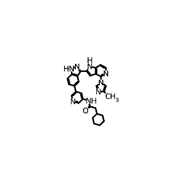 Cc1cn(-c2nccc3[nH]c(-c4n[nH]c5ccc(-c6cncc(NC(=O)CC7CCCCC7)c6)cc45)cc23)cn1